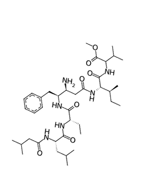 CC[C@H](NC(=O)[C@H](CC(C)C)NC(=O)CC(C)C)C(=O)N[C@@H](Cc1ccccc1)[C@@H](N)CC(=O)N[C@H](C(=O)NC(C(=O)OC)C(C)C)[C@@H](C)CC